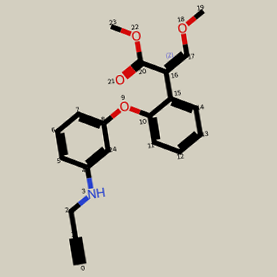 C#CCNc1cccc(Oc2ccccc2/C(=C/OC)C(=O)OC)c1